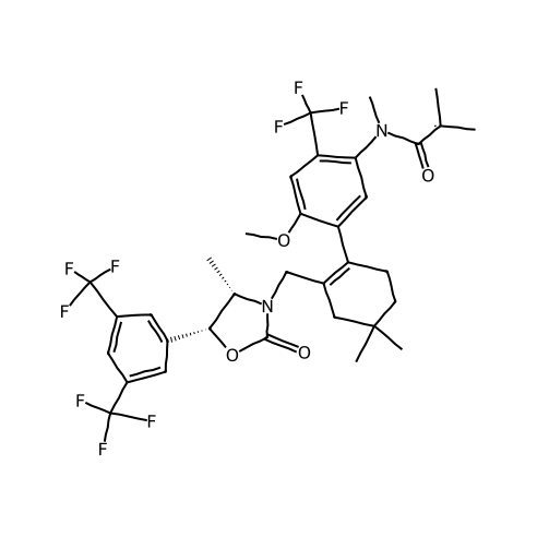 COc1cc(C(F)(F)F)c(N(C)C(=O)[C](C)C)cc1C1=C(CN2C(=O)O[C@H](c3cc(C(F)(F)F)cc(C(F)(F)F)c3)[C@@H]2C)CC(C)(C)CC1